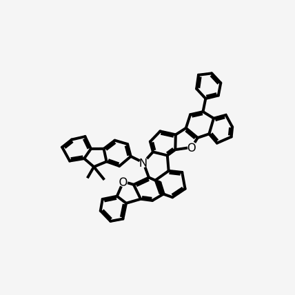 CC1(C)c2ccccc2-c2ccc(N(c3ccc4c(oc5c6ccccc6c(-c6ccccc6)cc45)c3-c3ccccc3)c3cccc4c3oc3ccccc34)cc21